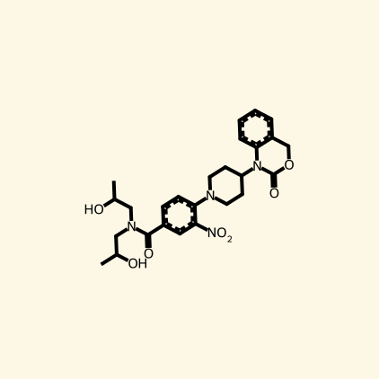 CC(O)CN(CC(C)O)C(=O)c1ccc(N2CCC(N3C(=O)OCc4ccccc43)CC2)c([N+](=O)[O-])c1